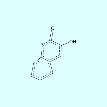 O=c1sc2ccccc2cc1O